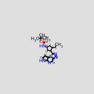 CCC1CC(NC(=O)OC(C)(C)C)CC1c1nnc2cnc3[nH]ccc3n12